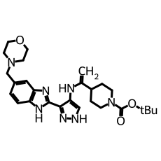 C=C(Nc1c[nH]nc1-c1nc2cc(CN3CCOCC3)ccc2[nH]1)C1CCN(C(=O)OC(C)(C)C)CC1